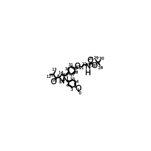 COc1ccc(-n2nc(C(=O)C(C)C)cc2-c2ccc(OCCNC(=O)OC(C)(C)C)cc2)cc1